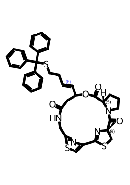 C[C@@]12CSC(=N1)c1csc(n1)CNC(=O)CC(/C=C/CCSC(c1ccccc1)(c1ccccc1)c1ccccc1)OC(=O)[C@@H]1CCCN1C2=O